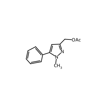 CC(=O)OCc1cc(-c2ccccc2)n(C)n1